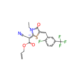 C=CCOC(=O)/C(C#N)=c1\sc(=Cc2cc(C(F)(F)F)ccc2F)c(=O)n1CC